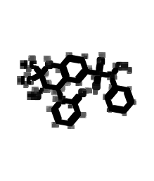 CN(c1ccccc1)S(=O)(=O)c1ccc2c(c1)[C@@H](n1ccccc1=O)[C@H](O)C(C)(C)O2